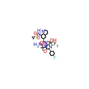 C[C@]1(C(N)=O)COc2c1cc([C@@](O)(CNC(=O)c1cc(NS(=O)(=O)C3CC3)c3ncccc3c1)C(F)(F)F)nc2-c1ccc(F)cc1